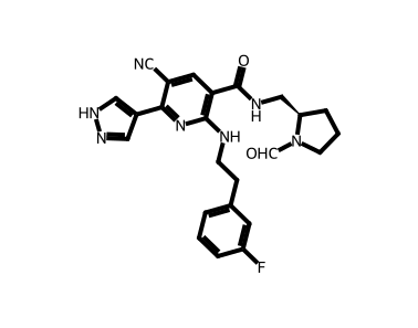 N#Cc1cc(C(=O)NC[C@H]2CCCN2C=O)c(NCCc2cccc(F)c2)nc1-c1cn[nH]c1